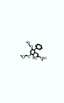 CNC(=O)Cc1c(Br)c(OCOC)cc(OCOC)c1-c1ccccc1